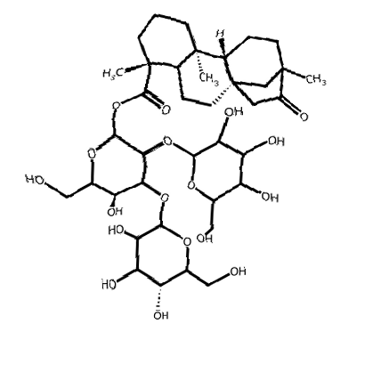 CC12CC[C@@H]3[C@](CCC4[C@](C)(C(=O)OC5OC(CO)[C@H](O)C(OC6OC(CO)[C@H](O)C(O)C6O)C5OC5OC(CO)C(O)C(O)C5O)CCC[C@]43C)(CC1=O)C2